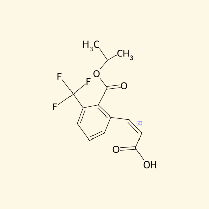 CC(C)OC(=O)c1c(/C=C\C(=O)O)cccc1C(F)(F)F